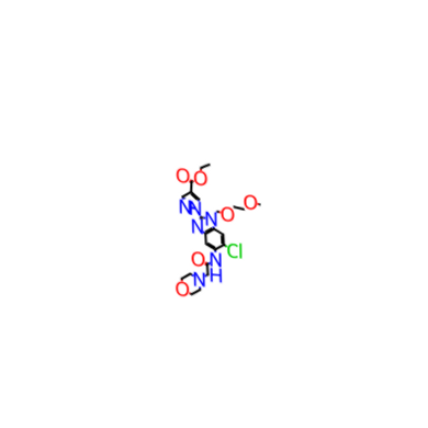 CCOC(=O)c1cnn(-c2nc3cc(NC(=O)CN4CCOCC4)c(Cl)cc3n2COCCOC)c1